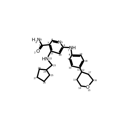 NC(=O)c1cnc(Nc2ccc(C3CCOCC3)cc2)cc1NCC1CCCC1